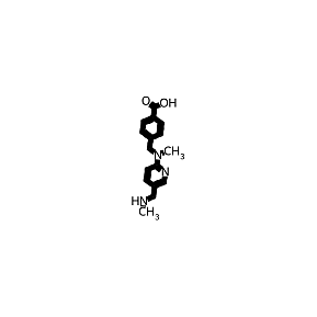 CNCc1ccc(N(C)Cc2ccc(C(=O)O)cc2)nc1